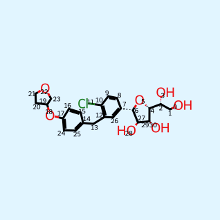 OC[C@@H](O)[C@H]1O[C@@H](c2ccc(Cl)c(Cc3ccc(OC4CCOC4)cc3)c2)[C@H](O)[C@H]1O